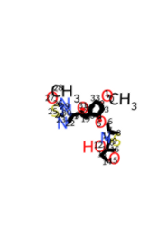 COc1cc(OCc2csc(C3(O)CCOC3)n2)c2cc(-c3cnc4sc(OC)nn34)oc2c1